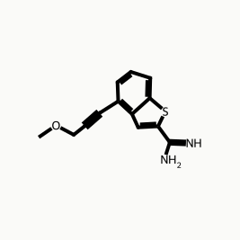 COCC#Cc1cccc2sc(C(=N)N)cc12